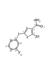 CCC1=C(C(N)=O)C=C(Cc2cccc(F)c2)C1